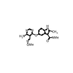 CNC(=O)c1c(C)[nH]c2ccc(Oc3ncnc(N)c3C=NOC)cc12